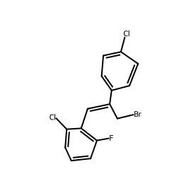 Fc1cccc(Cl)c1C=C(CBr)c1ccc(Cl)cc1